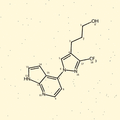 OCCCc1cn(-c2ccnc3[nH]ccc23)nc1C(F)(F)F